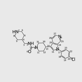 O=C(NCC1CCNCC1)N1CCC(c2cn(-c3ccc(Cl)cc3)c3cnccc23)CC1